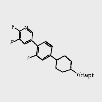 CCCCCCCC1CCC(c2ccc(-c3cnc(F)c(F)c3)c(F)c2)CC1